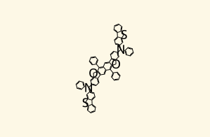 c1ccc(-c2c3cc4c(oc5cc(N(c6ccccc6)c6ccc7c(c6)sc6ccccc67)ccc54)c(-c4ccccc4)c3cc3c2oc2cc(N(c4ccccc4)c4ccc5c(c4)sc4ccccc45)ccc23)cc1